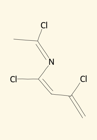 C=C(Cl)/C=C(Cl)\N=C(/C)Cl